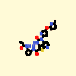 C=CC(=O)NC1CCCC1NC(=O)c1sc2nccc3c2c1NC(=O)N3c1ccc(Oc2cccc(C)n2)cn1